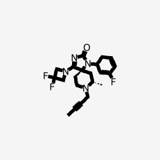 CC#CCN1CC[C@@]2(C[C@@H]1C)C(N1CC(F)(F)C1)=NC(=O)N2C1C=C(F)C=CC1